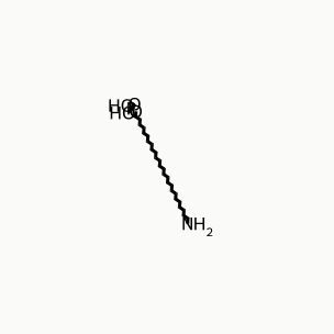 NCCCCCCCCCCCCCCCCCCCCCCCCCCOP(=O)(O)O